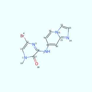 Cn1cc(Br)nc(Nc2ccn3ccnc3c2)c1=O